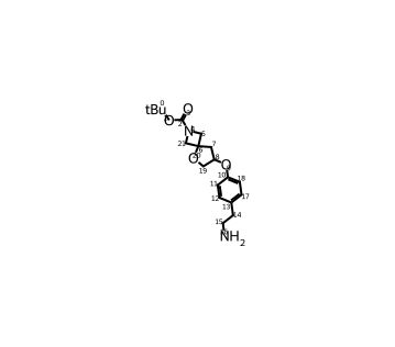 CC(C)(C)OC(=O)N1CC2(CC(Oc3ccc(CCN)cc3)CO2)C1